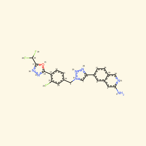 Nc1cc2cc(-c3cn(Cc4ccc(-c5nnc(C(F)F)o5)c(F)c4)nn3)ccc2cn1